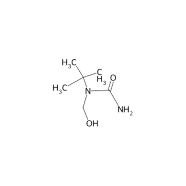 CC(C)(C)N(CO)C(N)=O